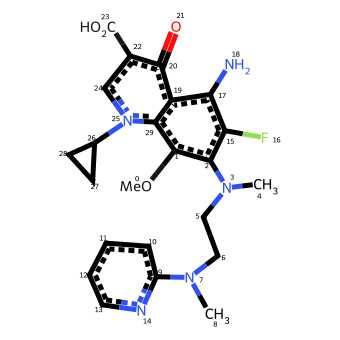 COc1c(N(C)CCN(C)c2ccccn2)c(F)c(N)c2c(=O)c(C(=O)O)cn(C3CC3)c12